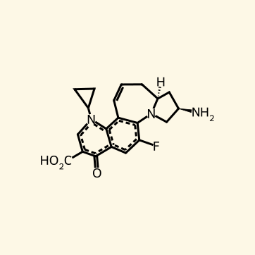 N[C@@H]1C[C@@H]2CC=Cc3c(c(F)cc4c(=O)c(C(=O)O)cn(C5CC5)c34)N2C1